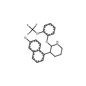 [O]c1ccc2c(C3CCCNC3Oc3ccccc3OC(F)(F)F)cccc2c1